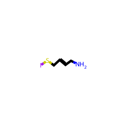 NC/C=C/CSI